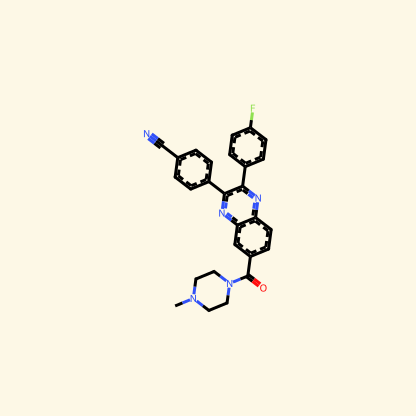 CN1CCN(C(=O)c2ccc3nc(-c4ccc(F)cc4)c(-c4ccc(C#N)cc4)nc3c2)CC1